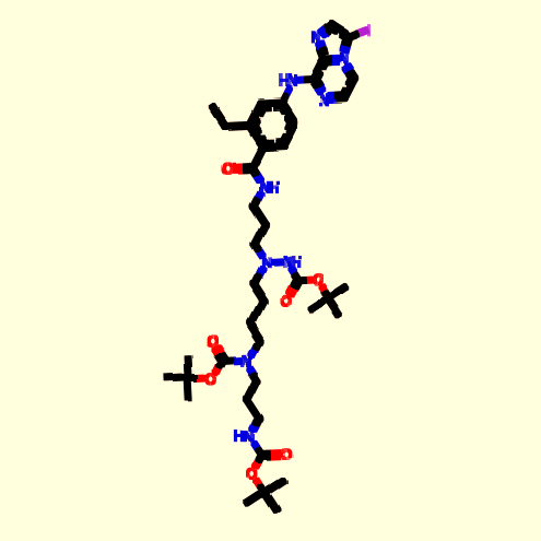 CCc1cc(Nc2nccn3c(I)cnc23)ccc1C(=O)NCCCN(CCCCN(CCCNC(=O)OC(C)(C)C)C(=O)OC(C)(C)C)NC(=O)OC(C)(C)C